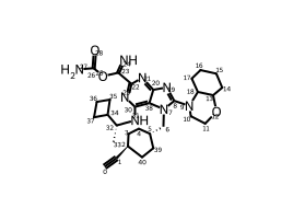 C#C[C@H]1CC[C@H](Cn2c(N3CCOC4CCCCC43)nc3nc(C(=N)OC(N)=O)nc(N[C@H](C)C4CCC4)c32)CC1